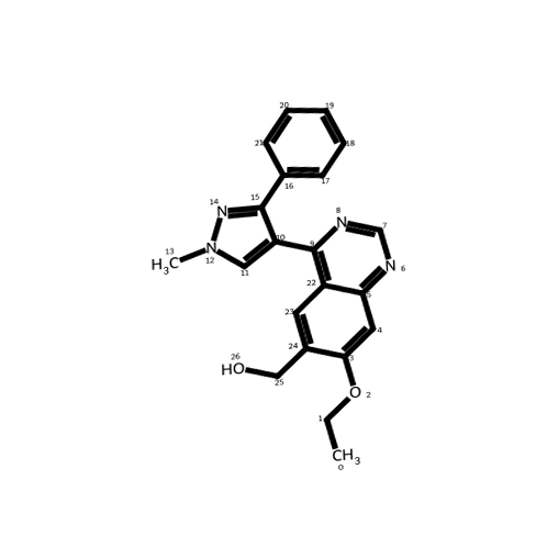 CCOc1cc2ncnc(-c3cn(C)nc3-c3ccccc3)c2cc1CO